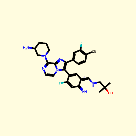 CC(C)(O)CN/C=C1/C=C(c2c(-c3ccc(C#N)c(F)c3)nc3c(N4CCCC(N)C4)nccn23)C(F)=CC1=N